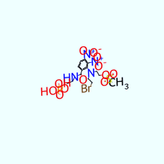 CS(=O)(=O)OCCN(CCBr)c1c(C(=O)NCCOP(=O)(O)O)ccc([N+](=O)[O-])c1[N+](=O)[O-]